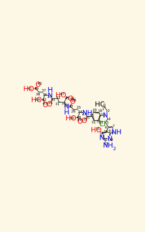 C#CCN(CCc1c[nH]c2nc(N)nc(O)c12)c1ccc(C(=O)N[C@@H](CCC(=O)N[C@@H](CCC(=O)N[C@@H](CCC(=O)O)C(=O)O)C(=O)O)C(=O)O)cc1Cl